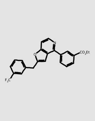 CCOC(=O)c1cccc(-c2nccc3oc(Cc4cccc(C(F)(F)F)c4)cc23)c1